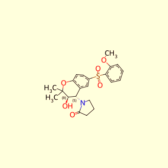 COc1ccccc1S(=O)(=O)c1ccc2c(c1)[C@H](N1CCCC1=O)[C@@H](O)C(C)(C)O2